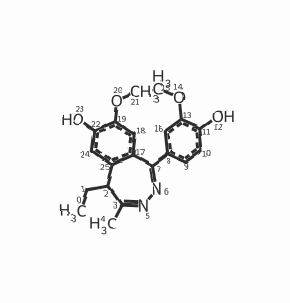 CCC1C(C)=NN=C(c2ccc(O)c(OC)c2)c2cc(OC)c(O)cc21